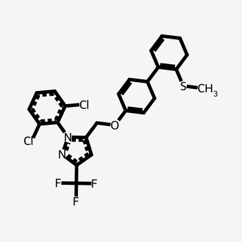 CSC1=C(C2C=CC(OCc3cc(C(F)(F)F)nn3-c3c(Cl)cccc3Cl)=CC2)C=CCC1